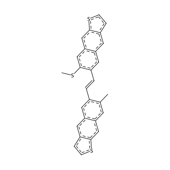 CSc1cc2cc3sccc3cc2cc1/C=C/c1cc2cc3ccsc3cc2cc1C